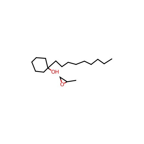 CC1CO1.CCCCCCCCCC1(O)CCCCC1